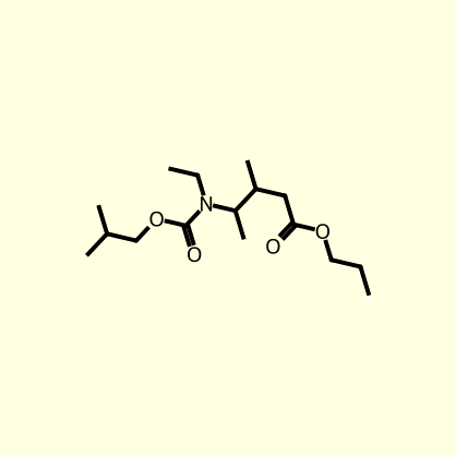 CCCOC(=O)CC(C)C(C)N(CC)C(=O)OCC(C)C